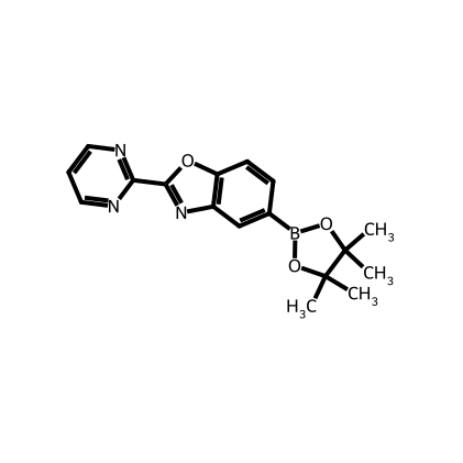 CC1(C)OB(c2ccc3oc(-c4ncccn4)nc3c2)OC1(C)C